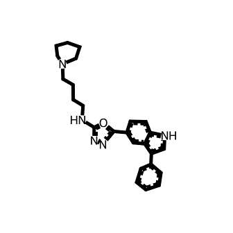 c1ccc(-c2c[nH]c3ccc(-c4nnc(NCCCCN5CCCCC5)o4)cc23)cc1